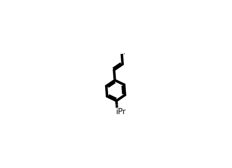 [CH2]C=Cc1ccc(C(C)C)cc1